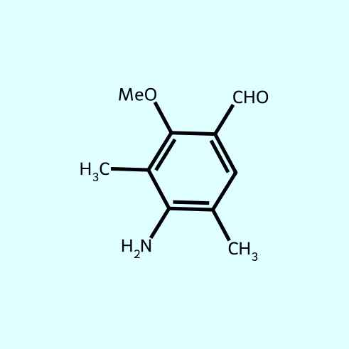 COc1c(C=O)cc(C)c(N)c1C